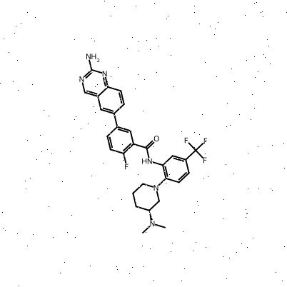 CN(C)[C@H]1CCCN(c2ccc(C(F)(F)F)cc2NC(=O)c2cc(-c3ccc4nc(N)ncc4c3)ccc2F)C1